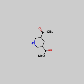 COC(=O)C1CNCC(C(=O)OCC(C)C)C1